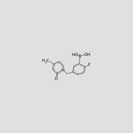 Cc1ccn(Cc2ccc(F)c(B(O)O)c2)c(=O)c1